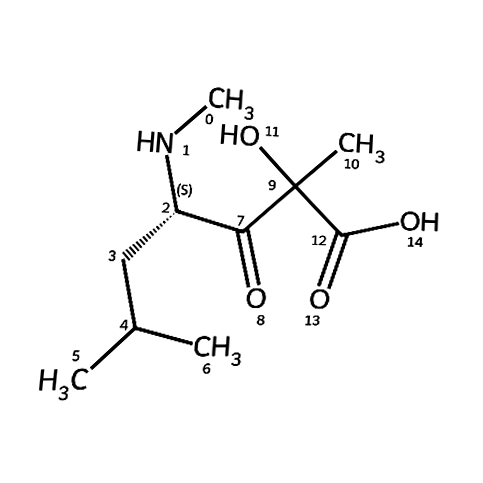 CN[C@@H](CC(C)C)C(=O)C(C)(O)C(=O)O